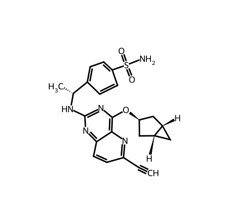 C#Cc1ccc2nc(N[C@H](C)c3ccc(S(N)(=O)=O)cc3)nc(O[C@H]3C[C@@H]4C[C@@H]4C3)c2n1